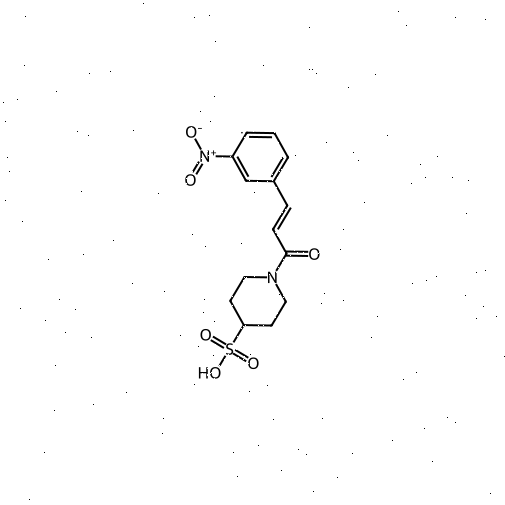 O=C(/C=C/c1cc[c]c([N+](=O)[O-])c1)N1CCC(S(=O)(=O)O)CC1